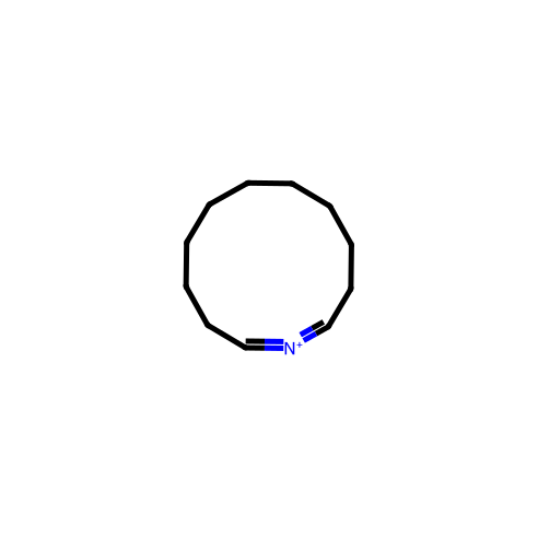 C1=[N+]=CCCCCCCCCC1